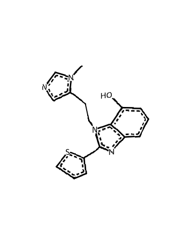 Cn1cncc1CCn1c(-c2cccs2)nc2cccc(O)c21